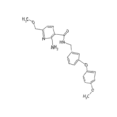 COCc1ccc(C(=O)NCc2cccc(Oc3ccc(OC)cc3)c2)c(N)n1